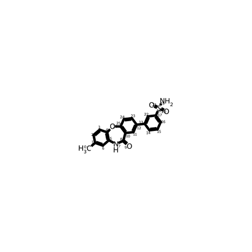 Cc1ccc2c(c1)NC(=O)c1cc(-c3cccc(S(N)(=O)=O)c3)ccc1O2